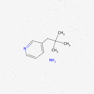 CC(C)(C)Cc1cccnc1.N